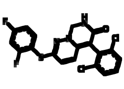 O=C1NCN2N=C(Sc3ccc(F)cc3F)C=CC2=C1c1c(Cl)cccc1Cl